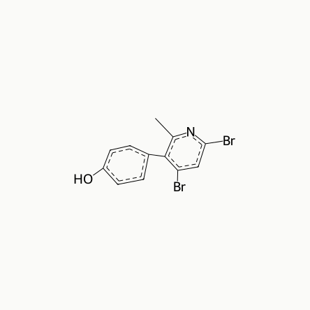 Cc1nc(Br)cc(Br)c1-c1ccc(O)cc1